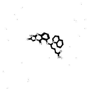 NC(=O)CCCC(Oc1cccc2nc3n(c(=O)c12)CC(=O)N3)N1CCCC2CCCCC21